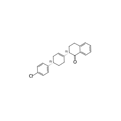 O=C1c2ccccc2CC[C@H]1C1=CC[C@@H](c2ccc(Cl)cc2)CC1